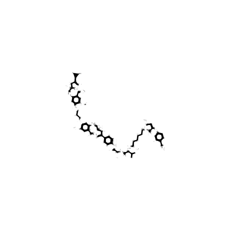 COc1cc2c(cc1OCCCOc1cc3c(cc1OC)C(=O)N1C=C(C4CC4)C[C@@H]1C=N3)N=C[C@H]1CC(c3ccc(NC(=O)[C@@H](C)NC(=O)[C@H](NC(=O)CCCCCN4C(=O)C=C(Oc5ccc(C#N)cc5)C4=O)C(C)C)cc3)=CN1C2=O